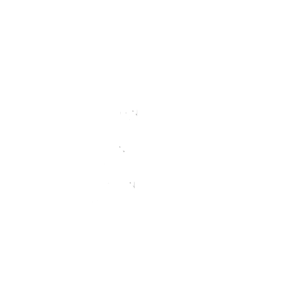 O=c1[nH]c(CC2(C[N+](=O)[O-])CCCCC2)ns1